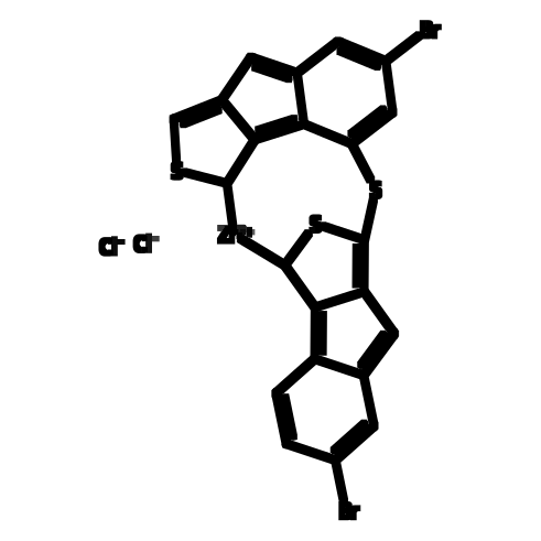 Brc1ccc2c(c1)=CC1=C3Sc4cc(Br)cc5c4=C4C(=CS[CH]4[Zr+2][CH](S3)C=21)C=5.[Cl-].[Cl-]